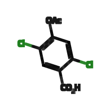 CC(=O)Oc1cc(Cl)c(C(=O)O)cc1Cl